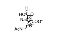 CC(=O)NCC[S+]([O-])C1=C(C(=O)[O-])N2C(=O)C(C(C)O)C2C1.[Na+]